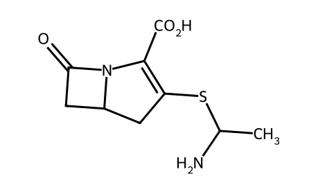 CC(N)SC1=C(C(=O)O)N2C(=O)CC2C1